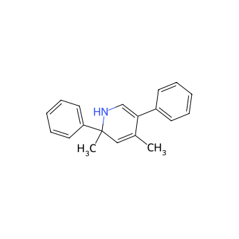 CC1=CC(C)(c2ccccc2)NC=C1c1ccccc1